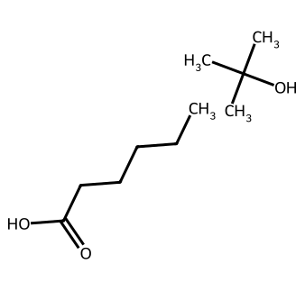 CC(C)(C)O.CCCCCC(=O)O